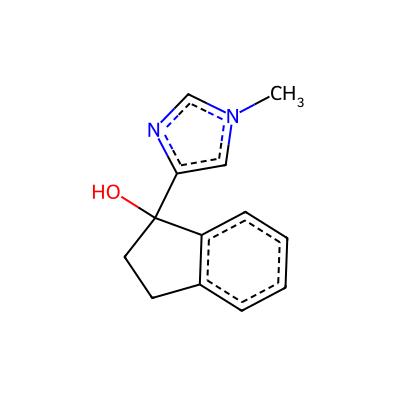 Cn1cnc(C2(O)CCc3ccccc32)c1